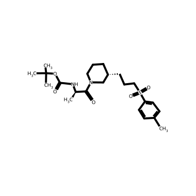 Cc1ccc(S(=O)(=O)CCC[C@H]2CCCN(C(=O)[C@@H](C)NC(=O)OC(C)(C)C)C2)cc1